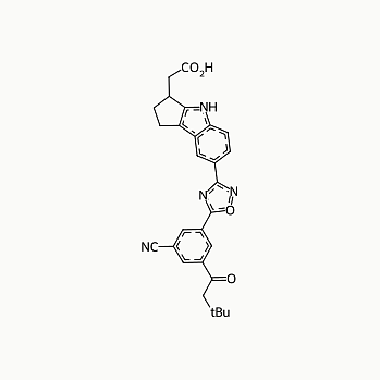 CC(C)(C)CC(=O)c1cc(C#N)cc(-c2nc(-c3ccc4[nH]c5c(c4c3)CCC5CC(=O)O)no2)c1